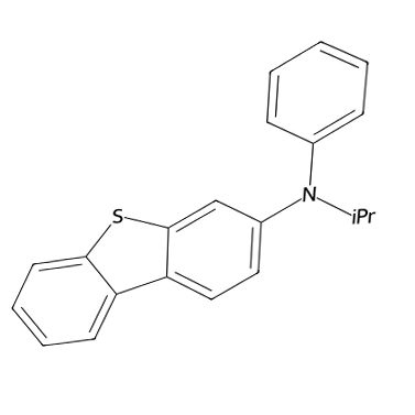 CC(C)N(c1ccccc1)c1ccc2c(c1)sc1ccccc12